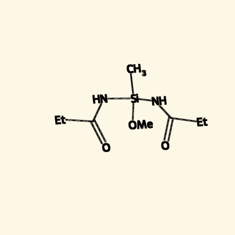 CCC(=O)N[Si](C)(NC(=O)CC)OC